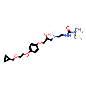 CN(C)C(=O)NCCNCC(O)COc1ccc(OCCOCC2CC2)cc1